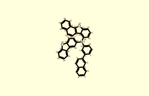 c1cc(-c2ccc3ccccc3c2)cc(N(c2ccc3oc4ccccc4c3c2)c2cccc3oc4c5ccccc5ccc4c23)c1